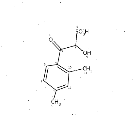 Cc1ccc(C(=O)C(O)S(=O)(=O)O)c(C)c1